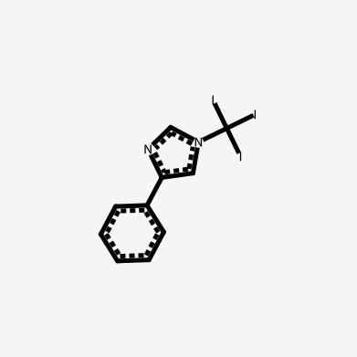 IC(I)(I)n1cnc(-c2ccccc2)c1